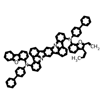 C=Cc1oc2c(N(c3ccc(-c4ccccc4)cc3)c3cccc4c3c3cccc5c6cc7c(cc6n4c53)c3cccc4c5c(N(c6ccc(-c8ccccc8)cc6)c6cccc8c6oc6ccccc68)cccc5n7c34)cccc2c1/C=C\C